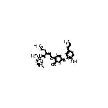 CCCc1ccc(O)c(Sc2ccc(CCC(CCC)COP(=O)(O)ON)c(Cl)c2)c1